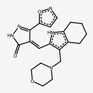 O=C1NN=C(c2ccno2)/C1=C\c1[nH]c2c(c1CN1CCOCC1)CCCC2